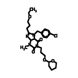 CCOCCCC1=NC2C(C(=O)N(CCCOC3CCCCO3)C(=O)N2C)N1Cc1ccc(Cl)cc1